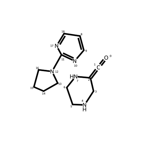 O=C=C1CNCCN1.c1cnc(N2CCCC2)nc1